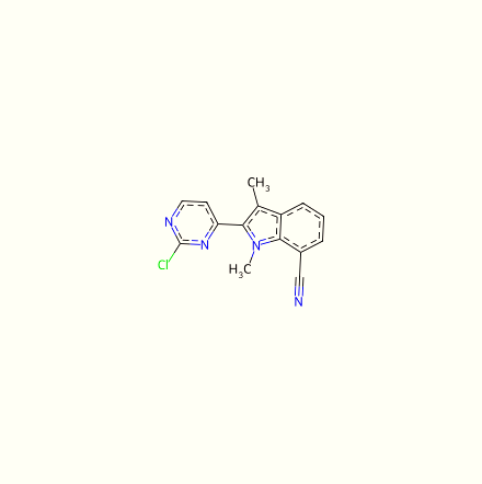 Cc1c(-c2ccnc(Cl)n2)n(C)c2c(C#N)cccc12